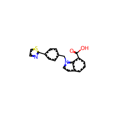 O=C(O)c1cccc2ccn(Cc3ccc(-c4nccs4)cc3)c12